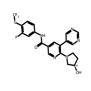 O=C(Nc1ccc(SC(F)(F)F)c(F)c1)c1cnc(N2CC[C@@H](O)C2)c(-c2cncnc2)c1